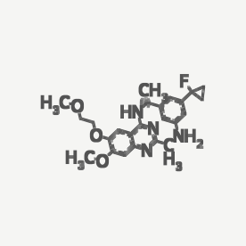 COCCOc1cc2c(N[C@H](C)c3cc(N)cc(C4(F)CC4)c3)nc(C)nc2cc1OC